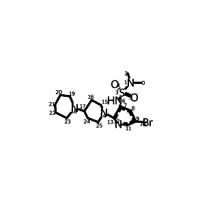 CN(C)S(=O)(=O)Nc1cc(Br)cnc1N1CCC(N2CCCCC2)CC1